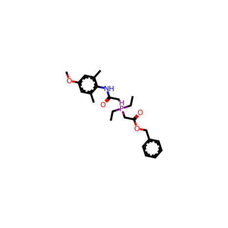 CC[PH](CC)(CC(=O)Nc1c(C)cc(OC)cc1C)CC(=O)OCc1ccccc1